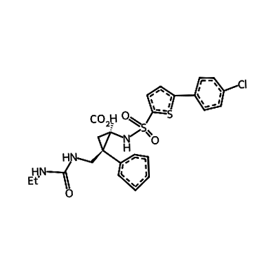 CCNC(=O)NC[C@@]1(c2ccccc2)C[C@]1(NS(=O)(=O)c1ccc(-c2ccc(Cl)cc2)s1)C(=O)O